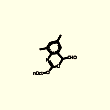 CCCCCCCCOC1=Nc2c(C)cc(C)cc2C(C=O)O1